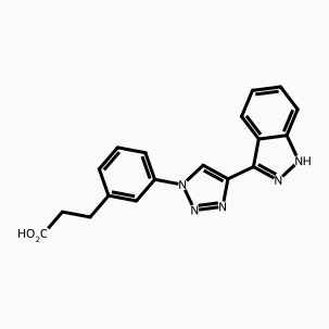 O=C(O)CCc1cccc(-n2cc(-c3n[nH]c4ccccc34)nn2)c1